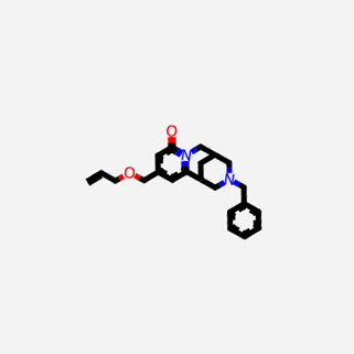 C=CCOCc1cc2n(c(=O)c1)CC1CC2CN(Cc2ccccc2)C1